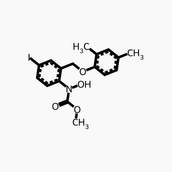 COC(=O)N(O)c1ccc(I)cc1COc1ccc(C)cc1C